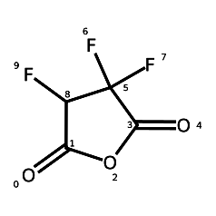 O=C1OC(=O)C(F)(F)C1F